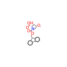 CO[C@H]1C[C@@H](C(=O)O)N(C(=O)OCC2c3ccccc3-c3ccccc32)C1